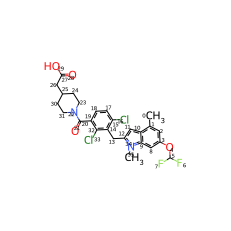 Cc1cc(OC(F)F)cc2c1cc(Cc1c(Cl)ccc(C(=O)N3CCC(CC(=O)O)CC3)c1Cl)n2C